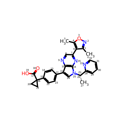 Cc1noc(C)c1-c1cnc2c(-c3ccc(C4(C(=O)O)CC4)cc3)cn([C@@H](C)c3ccccn3)c2n1